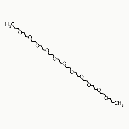 CCCOCCOCCOCCOCCOCCOCCOCCOCCOCCOCCOCCC